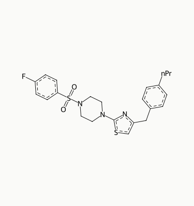 CCCc1ccc(Cc2csc(N3CCN(S(=O)(=O)c4ccc(F)cc4)CC3)n2)cc1